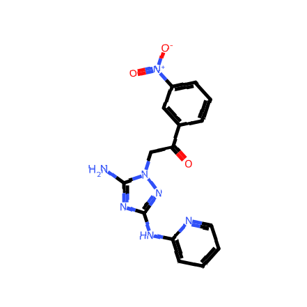 Nc1nc(Nc2ccccn2)nn1CC(=O)c1cccc([N+](=O)[O-])c1